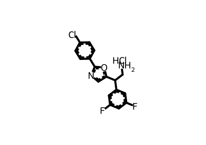 Cl.NCC(c1cc(F)cc(F)c1)c1cnc(-c2ccc(Cl)cc2)o1